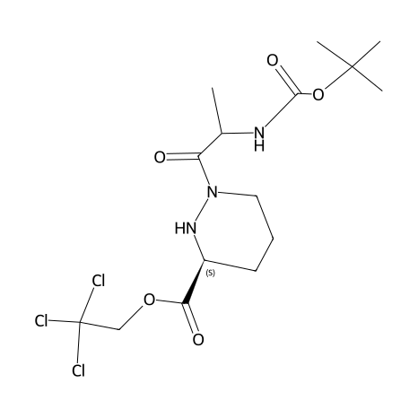 CC(NC(=O)OC(C)(C)C)C(=O)N1CCC[C@@H](C(=O)OCC(Cl)(Cl)Cl)N1